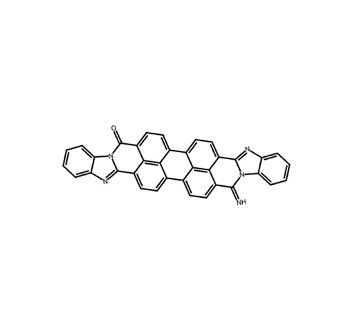 N=c1c2ccc3c4ccc5c6c(ccc(c7ccc(c2c73)c2nc3ccccc3n12)c46)c(=O)n1c2ccccc2nc51